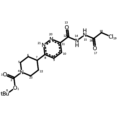 CC(C)(C)OC(=O)N1CCC(c2ccc(C(=O)NNC(=O)CCl)nn2)CC1